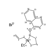 C=CC[N+]1(CC)CCCC1Oc1cccc2ccccc12.[Br-]